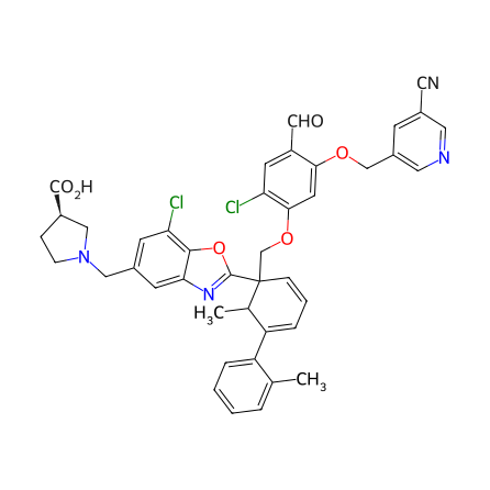 Cc1ccccc1C1=CC=CC(COc2cc(OCc3cncc(C#N)c3)c(C=O)cc2Cl)(c2nc3cc(CN4CC[C@@H](C(=O)O)C4)cc(Cl)c3o2)C1C